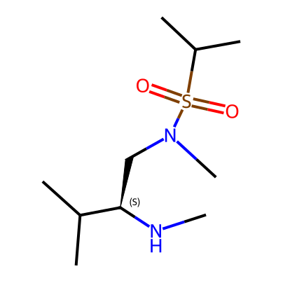 CN[C@H](CN(C)S(=O)(=O)C(C)C)C(C)C